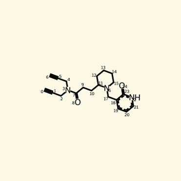 C#CCN(CC#C)C(=O)CCC1CCCCN1Cc1ccc[nH]c1=O